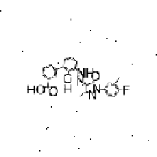 CC1=NN(c2ccc(F)c(C)c2)C(=O)C1=NNc1cccc(-c2cccc(C(=O)O)c2)c1O